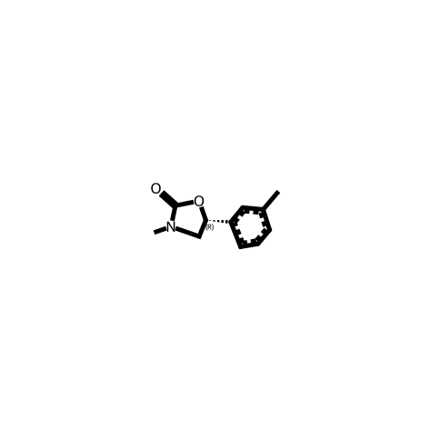 Cc1cccc([C@@H]2CN(C)C(=O)O2)c1